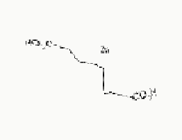 O=C(O)CCCCC(=O)O.[Zn]